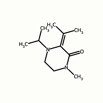 CC(C)=C1C(=O)N(C)CCN1C(C)C